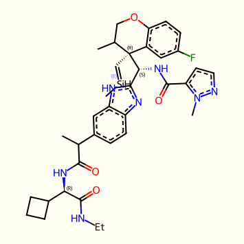 CCNC(=O)[C@H](NC(=O)C(C)c1ccc2nc([C@@H](NC(=O)c3ccnn3C)[C@]3(/C=[SiH]/C)c4cc(F)ccc4OCC3C)[nH]c2c1)C1CCC1